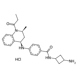 CCC(=O)N1c2ccccc2[C@H](Nc2ccc(C(=O)NC3CC(N)C3)cc2)C[C@@H]1C.Cl